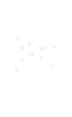 CCc1nc(Nc2nc(-c3ccccc3)ncc2N(C)C)nc(N2CCN(C)CC2)n1